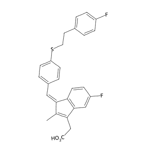 CC1=C(CC(=O)O)c2cc(F)ccc2/C1=C\c1ccc(SCCc2ccc(F)cc2)cc1